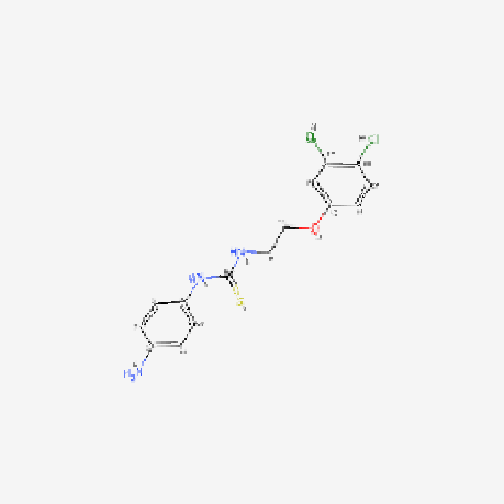 Nc1ccc(NC(=S)NCCOc2ccc(Cl)c(Cl)c2)cc1